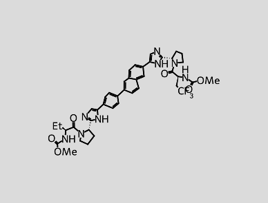 CC[C@H](NC(=O)OC)C(=O)N1CCC[C@H]1c1ncc(-c2ccc(-c3ccc4cc(-c5cnc([C@@H]6CCCN6C(=O)[C@H](CC(F)(F)F)NC(=O)OC)[nH]5)ccc4c3)cc2)[nH]1